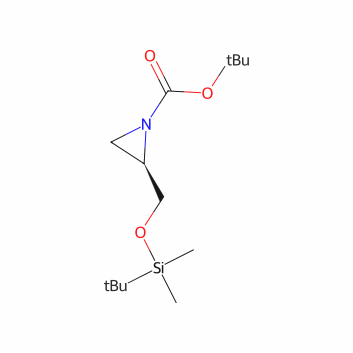 CC(C)(C)OC(=O)N1C[C@@H]1CO[Si](C)(C)C(C)(C)C